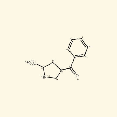 O=C(c1ccccc1)C1CNC(C(=O)O)C1